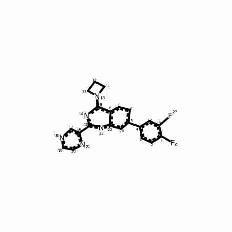 Fc1ccc(-c2ccc3c(N4CCC4)nc(-c4cnccn4)nc3c2)cc1F